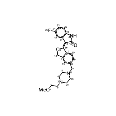 COCCN1CCN(Cc2ccc3c(c2)COC3=C2C(=O)Nc3ccc(F)cc32)CC1